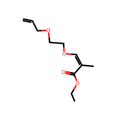 C=CCOCCOC=C(C)C(=O)OCC